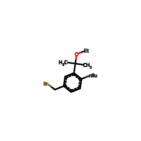 CCCCc1ccc(CBr)cc1C(C)(C)OCC